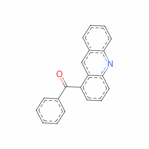 O=C(c1ccccc1)c1cccc2nc3ccccc3cc12